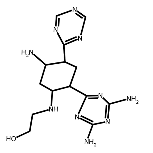 Nc1nc(N)nc(C2CC(c3ncncn3)C(N)CC2NCCO)n1